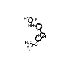 C[C@@H](Oc1ccn2c(-c3cccc(N[C@H]4CNC[C@@H]4F)n3)cnc2c1)C(F)(F)F